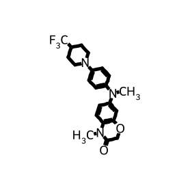 CN1C(=O)COc2cc(N(C)c3ccc(N4CCC(C(F)(F)F)CC4)cc3)ccc21